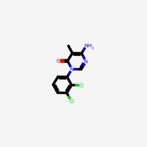 Cc1c(N)ncn(-c2cccc(Cl)c2Cl)c1=O